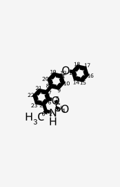 CC1NS(=O)Oc2c(-c3ccc(Oc4ccccc4)cc3)cccc21